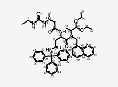 CCNC(=O)NN(C)CC(=O)NC(CC(=O)NC(c1ccccc1)(c1ccccc1)c1ccccc1)C(=O)N(Cc1cccc2cccnc12)C(C)C(OCC)OCC